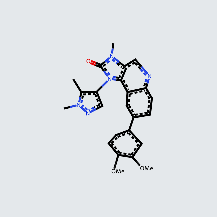 COc1ccc(-c2ccc3ncc4c(c3c2)n(-c2cnn(C)c2C)c(=O)n4C)cc1OC